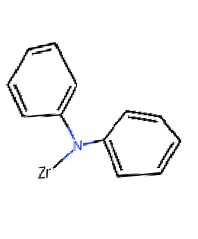 [Zr][N](c1ccccc1)c1ccccc1